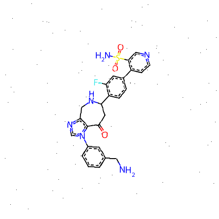 NCc1cccc(-n2cnc3c2C(=O)CC(c2ccc(-c4ccncc4S(N)(=O)=O)cc2F)NC3)c1